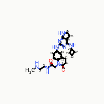 CNCCNC(=O)CN1C(=O)CCc2cc(Nc3nc(NC4CCC4)c4cc[nH]c4n3)ccc21